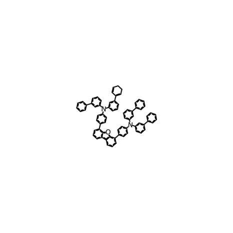 C1=CC(c2cccc(N(c3ccc(-c4cccc5c4oc4c(-c6ccc(N(c7cccc(-c8ccccc8)c7)c7cccc(-c8ccccc8)c7)cc6)cccc45)cc3)c3cccc(-c4ccccc4)c3)c2)=CCC1